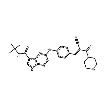 CC(C)(C)NC(=O)c1c[nH]c2ncc(Nc3ccc(/C=C(\C#N)C(=O)N4CCNCC4)cc3)nc12